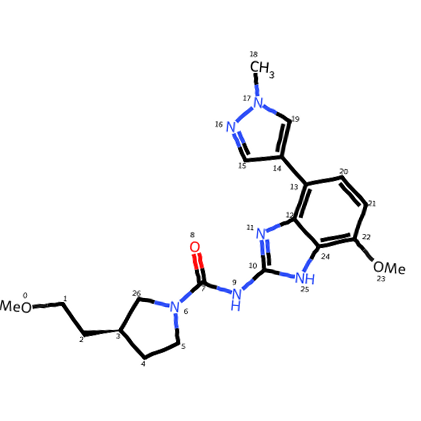 COCC[C@@H]1CCN(C(=O)Nc2nc3c(-c4cnn(C)c4)ccc(OC)c3[nH]2)C1